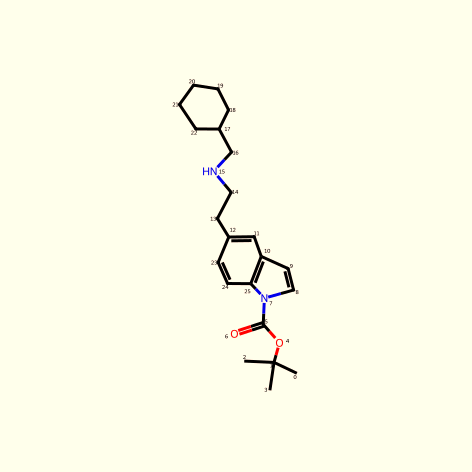 CC(C)(C)OC(=O)n1ccc2cc(CCNCC3CCCCC3)ccc21